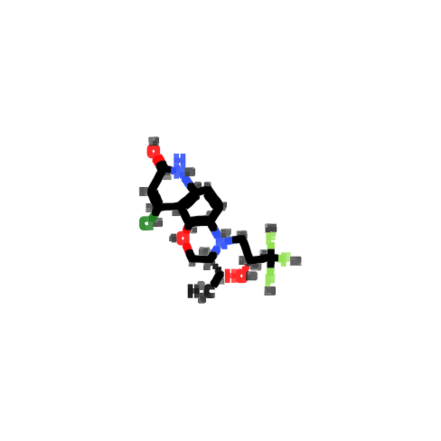 CC[C@@H]1COc2c(ccc3[nH]c(=O)cc(Cl)c23)N1C[C@@H](O)C(F)(F)F